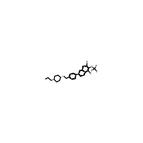 CCC[C@H]1CC[C@H](CCc2ccc(-c3ccc4c(F)c(OC(F)(F)F)c(F)cc4c3)cc2)CC1